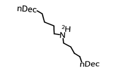 [2H]N(CCCCCCCCCCCCCC)CCCCCCCCCCCCCC